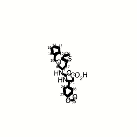 O=C(O)CC(NC(=O)NC(COCc1ccccc1)Cc1cccs1)c1ccc2c(c1)OCO2